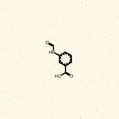 O=CNc1cccc(C(=O)O)c1